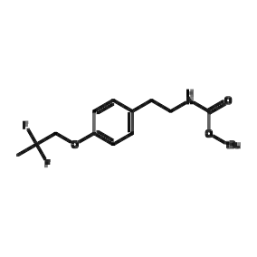 CC(F)(F)COc1ccc(CCNC(=O)OC(C)(C)C)cc1